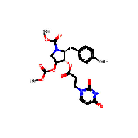 COc1ccc(C[C@@H]2[C@H](OC(=O)CCn3ccc(=O)[nH]c3=O)[C@@H](OC(=O)OC(C)(C)C)CN2C(=O)OC(C)(C)C)cc1